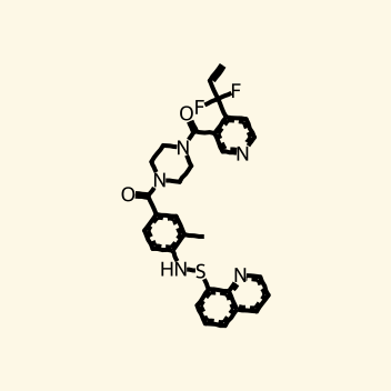 C=CC(F)(F)c1ccncc1C(=O)N1CCN(C(=O)c2ccc(NSc3cccc4cccnc34)c(C)c2)CC1